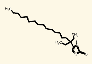 CCCCCCCCCCCCCCCC(CC)(CC)c1coc(=O)[nH]1